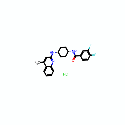 Cl.O=C(N[C@H]1CC[C@@H](Nc2cc(C(F)(F)F)c3ccccc3n2)CC1)c1ccc(F)c(F)c1